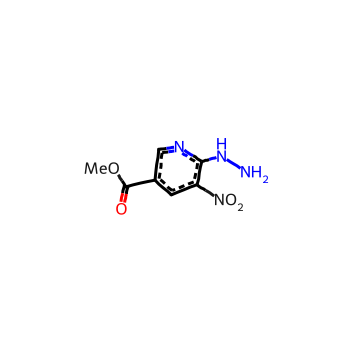 COC(=O)c1cnc(NN)c([N+](=O)[O-])c1